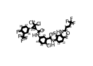 O=C(/C=C/C(F)(F)F)Nc1c(F)ccc(NC(=O)c2cc(NC(=O)[C@H]3[C@H](c4ccc(F)c(C(F)(F)F)c4)C3(Cl)Cl)ccc2Cl)c1F